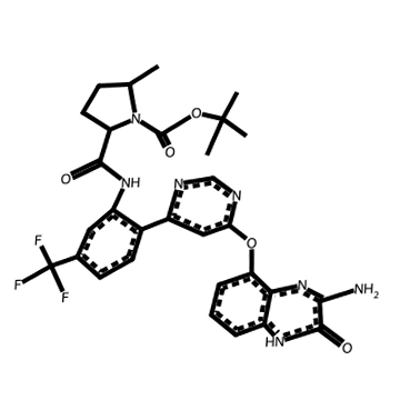 CC1CCC(C(=O)Nc2cc(C(F)(F)F)ccc2-c2cc(Oc3cccc4[nH]c(=O)c(N)nc34)ncn2)N1C(=O)OC(C)(C)C